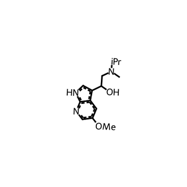 COc1cnc2[nH]cc(C(O)CN(C)C(C)C)c2c1